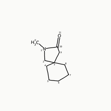 CN1CC2(CCCCC2)CC1=O